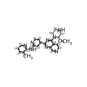 COc1cncc2nc(-c3ccnc(Nc4ncccc4C)c3)nc(N3CCNCC3)c12